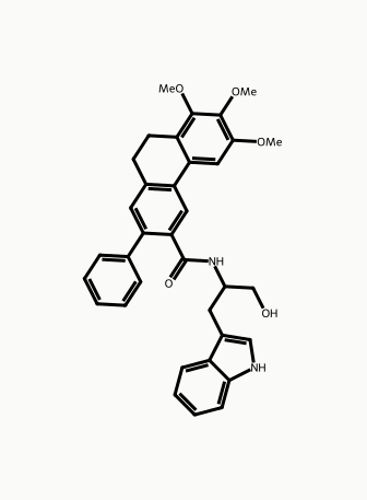 COc1cc2c(c(OC)c1OC)CCc1cc(-c3ccccc3)c(C(=O)NC(CO)Cc3c[nH]c4ccccc34)cc1-2